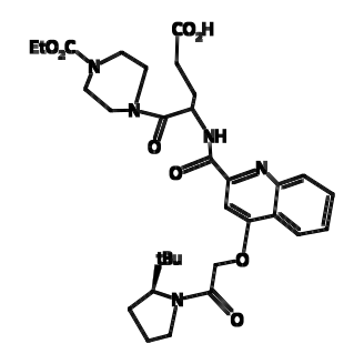 CCOC(=O)N1CCN(C(=O)C(CCC(=O)O)NC(=O)c2cc(OCC(=O)N3CCC[C@H]3C(C)(C)C)c3ccccc3n2)CC1